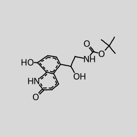 CC(C)(C)OC(=O)NCC(O)c1ccc(O)c2[nH]c(=O)ccc12